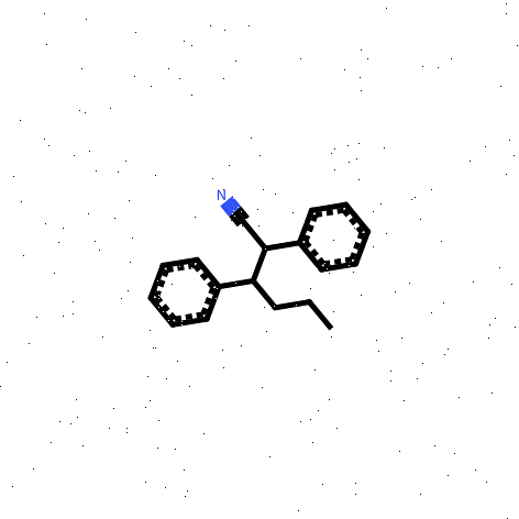 CCCC(c1ccccc1)C(C#N)c1ccccc1